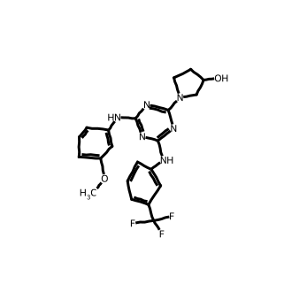 COc1cccc(Nc2nc(Nc3cccc(C(F)(F)F)c3)nc(N3CCC(O)C3)n2)c1